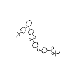 CCC(C)(C)OC(=O)c1ccc(Oc2ccc(C(=O)Oc3ccc(C4(c5ccc(C(C)(C)CC)cc5)CCCCC4)cc3)cc2)cc1